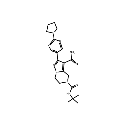 CC(C)(C)NC(=O)N1CCn2nc(-c3cnc(N4CCCC4)nc3)c(C(N)=O)c2C1